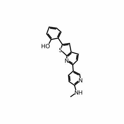 CNc1ccc(-c2ccc3cc(-c4ccccc4O)sc3n2)cn1